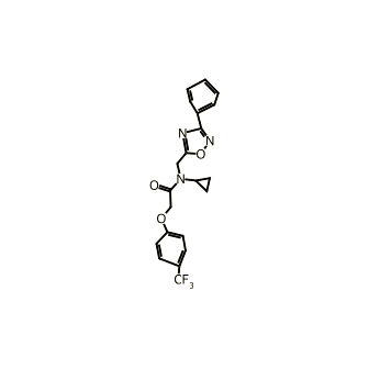 O=C(COc1ccc(C(F)(F)F)cc1)N(Cc1nc(-c2ccccc2)no1)C1CC1